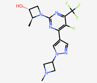 C[C@H]1[C@H](O)CN1c1nc(-c2cnn(C3CN(C)C3)c2)c(F)c(C(F)(F)F)n1